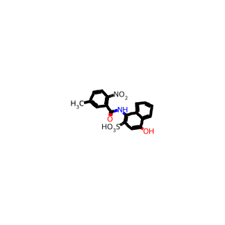 Cc1ccc([N+](=O)[O-])c(C(=O)Nc2c(S(=O)(=O)O)cc(O)c3ccccc23)c1